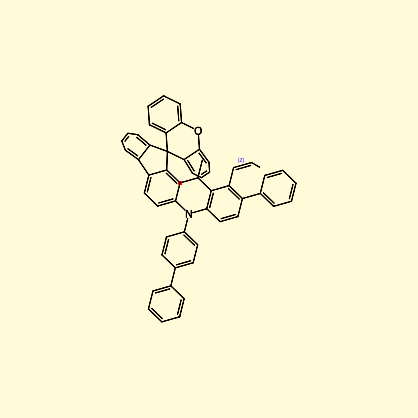 C/C=C\c1c(-c2ccccc2)ccc(N(c2ccc(-c3ccccc3)cc2)c2ccc3c(c2)C2(c4ccccc4Oc4ccccc42)c2ccccc2-3)c1C(C)C